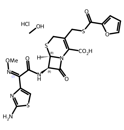 CO.CO/N=C(\C(=O)N[C@@H]1C(=O)N2C(C(=O)O)=C(CSC(=O)c3ccco3)CS[C@H]12)c1csc(N)n1.Cl